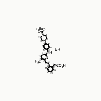 CC(C)(C)OC(=O)N1CCN(c2ccc(Nc3ncc(C(F)(F)F)c(CCc4ccccc4CC(=O)O)n3)cc2)CC1.[LiH]